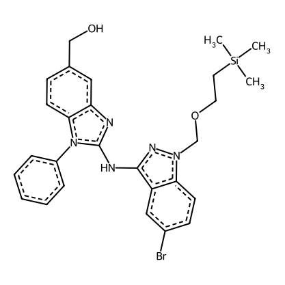 C[Si](C)(C)CCOCn1nc(Nc2nc3cc(CO)ccc3n2-c2ccccc2)c2cc(Br)ccc21